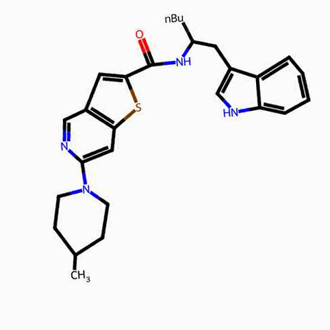 CCCCC(Cc1c[nH]c2ccccc12)NC(=O)c1cc2cnc(N3CCC(C)CC3)cc2s1